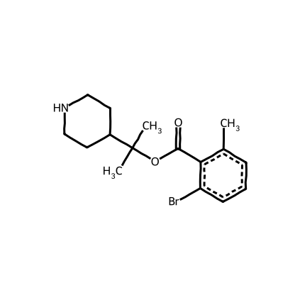 Cc1cccc(Br)c1C(=O)OC(C)(C)C1CCNCC1